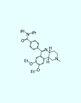 CCOc1cc2c(cc1OCC)[C@H]1CN(C)CC[C@H]1N=C2c1ccc(C(=O)N(C(C)C)C(C)C)cc1